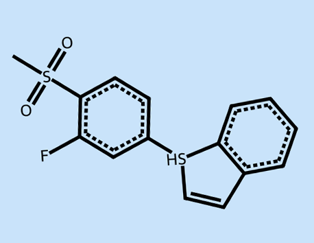 CS(=O)(=O)c1ccc([SH]2C=Cc3ccccc32)cc1F